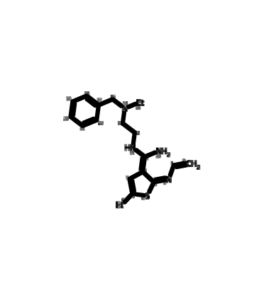 C=C/N=C1/SC(CC)=C/C1=C(/N)NCCN(CC)Cc1ccccc1